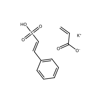 C=CC(=O)[O-].O=S(=O)(O)C=Cc1ccccc1.[K+]